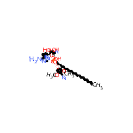 CCCCCCCCCCCCCCCCCCC[C@H](COP(=O)(O)OC[C@@]1(C#N)O[C@@H](c2ccc3c(N)ncnn23)[C@H](O)[C@@H]1O)Oc1cc(OC)c(C#N)c(OC)c1